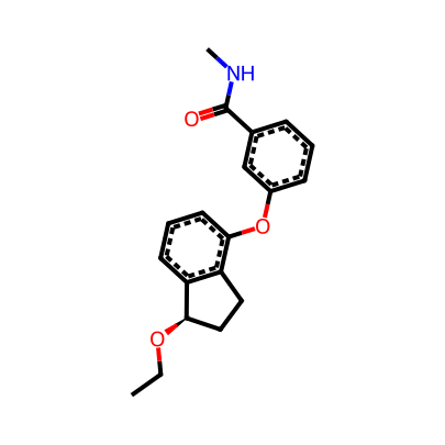 CCO[C@@H]1CCc2c(Oc3cccc(C(=O)NC)c3)cccc21